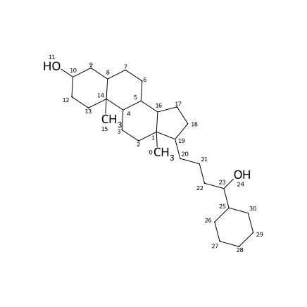 CC12CCC3C(CCC4CC(O)CCC43C)C1CCC2CCCC(O)C1CCCCC1